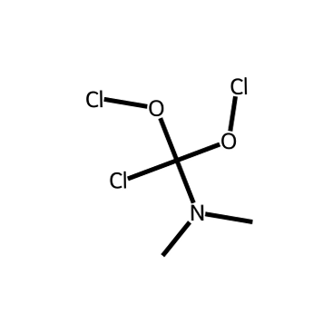 CN(C)C(Cl)(OCl)OCl